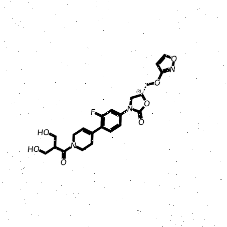 O=C(C(CO)CO)N1CC=C(c2ccc(N3C[C@H](COc4ccon4)OC3=O)cc2F)CC1